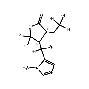 [2H]C([2H])([2H])C[C@@H]1C(=O)OC([2H])([2H])[C@@H]1C([2H])([2H])c1cncn1C